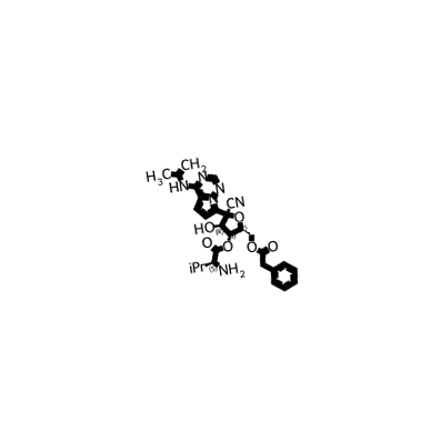 C=C(C)Nc1ncnn2c([C@]3(C#N)O[C@H](COC(=O)Cc4ccccc4)[C@@H](OC(=O)[C@@H](N)C(C)C)[C@H]3O)ccc12